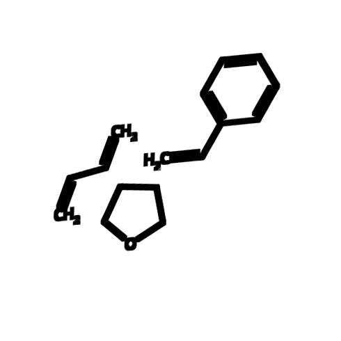 C1CCOC1.C=CC=C.C=Cc1ccccc1